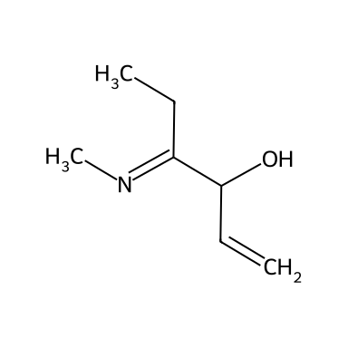 C=CC(O)C(CC)=NC